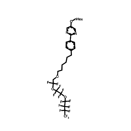 CCCCCCOc1cnc(-c2ccc(CCCCCCOCC(F)(F)OC(F)(F)C(F)(F)OC(F)(F)C(F)(F)C(F)(F)C(F)(F)F)cc2)nc1